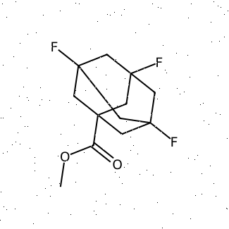 COC(=O)C12CC3(F)CC(F)(CC(F)(C3)C1)C2